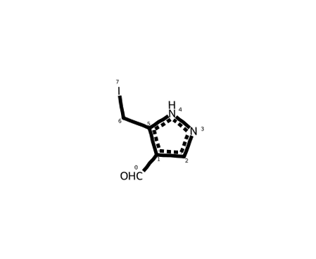 O=Cc1cn[nH]c1CI